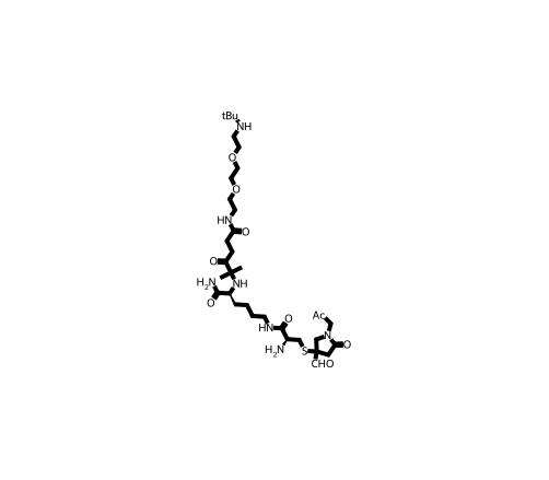 CC(=O)CN1CC(C=O)(SC[C@@H](N)C(=O)NCCCC[C@H](NC(C)(C)C(=O)CCC(=O)NCCOCCOCCNC(C)(C)C)C(N)=O)CC1=O